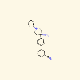 N#Cc1cccc(-c2ccc(C3(N)CCN(C4CCCC4)CC3)cc2)c1